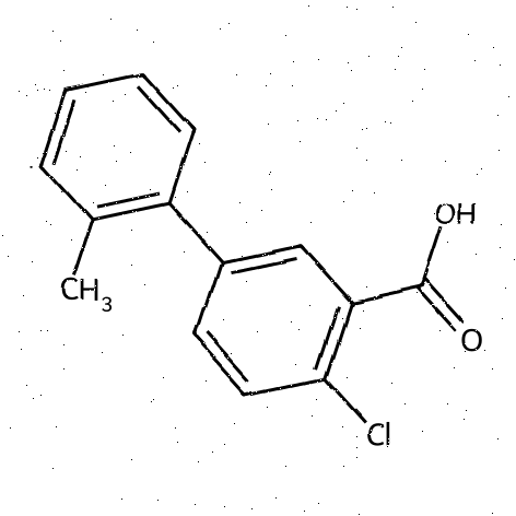 Cc1[c]cccc1-c1ccc(Cl)c(C(=O)O)c1